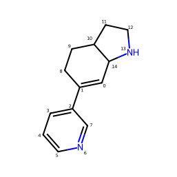 C1=C(c2cccnc2)CCC2CCNC12